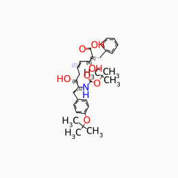 CC(C)(C)OC(=O)N[C@@H](Cc1ccc(OC(C)(C)C)cc1)[C@H](O)C/C=C\[C@@H](O)[C@@H](Cc1ccccc1)C(=O)O